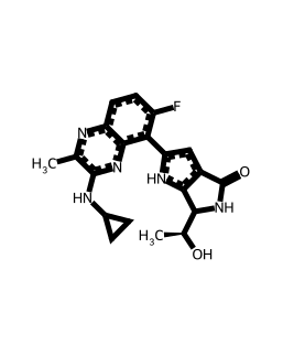 Cc1nc2ccc(F)c(-c3cc4c([nH]3)C([C@H](C)O)NC4=O)c2nc1NC1CC1